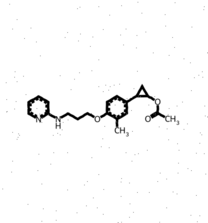 CC(=O)OC1CC1c1ccc(OCCCNc2ccccn2)c(C)c1